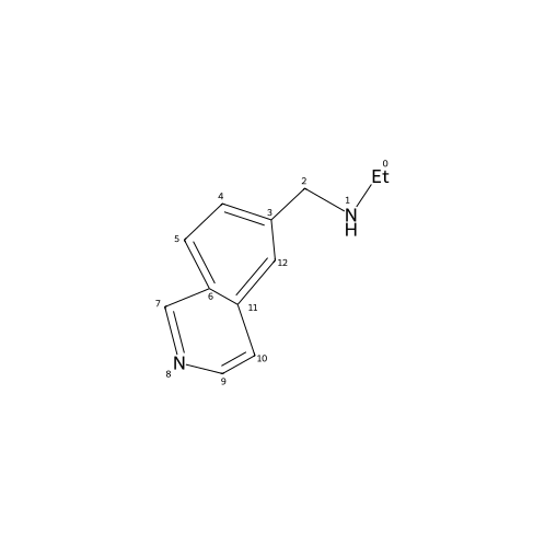 CCNCc1ccc2cnccc2c1